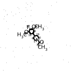 CCC(=O)N1CCC(c2cc(OC)c(F)c(OC)c2)CC1